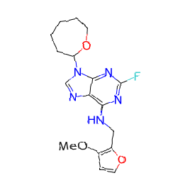 COc1ccoc1CNc1nc(F)nc2c1ncn2C1CCCCCO1